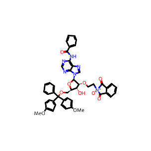 COc1ccc(C(OC[C@H]2O[C@@H](n3cnc4c(NC(=O)c5ccccc5)ncnc43)[C@H](OCC[N+]3([O-])C(=O)c4ccccc4C3=O)[C@@H]2O)(c2ccccc2)c2ccc(OC)cc2)cc1